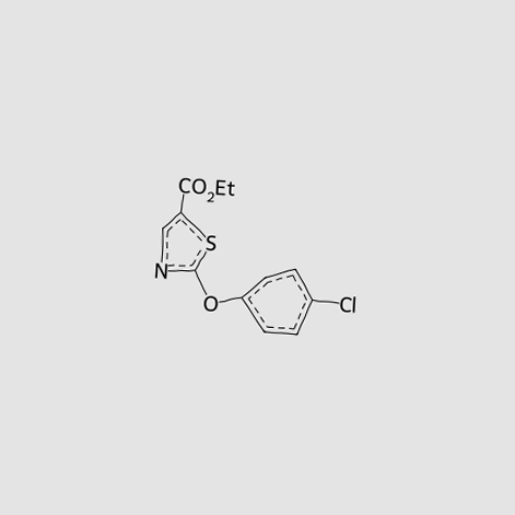 CCOC(=O)c1cnc(Oc2ccc(Cl)cc2)s1